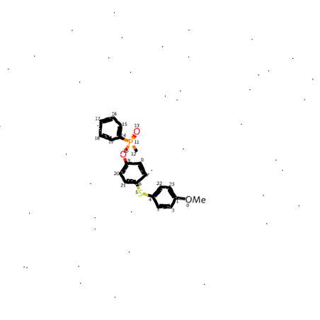 COc1ccc(Sc2ccc(OP(C)(=O)c3ccccc3)cc2)cc1